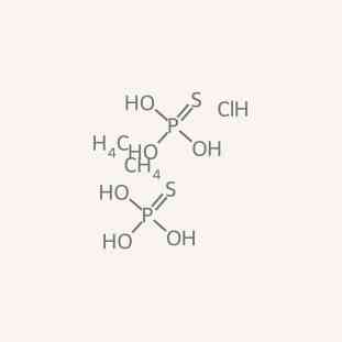 C.C.Cl.OP(O)(O)=S.OP(O)(O)=S